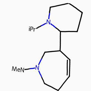 CNN1CCC=CC(C2CCCCN2C(C)C)C1